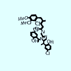 COc1ccc(CC(C)CCC(=O)[N]Cc2ncc(C(C)c3cc(Cl)ccc3O)n2C(C)c2cc(Cl)ccc2O)c(Cl)c1OC